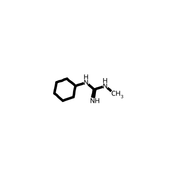 CNC(=N)NC1CCCCC1